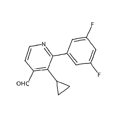 O=Cc1ccnc(-c2cc(F)cc(F)c2)c1C1CC1